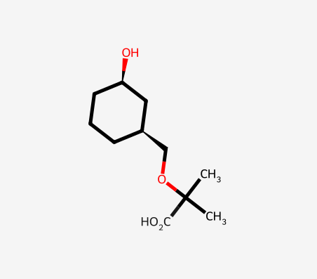 CC(C)(OC[C@H]1CCC[C@@H](O)C1)C(=O)O